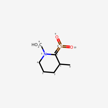 CC1CCCN(C(=O)O)C1=S(=O)=O